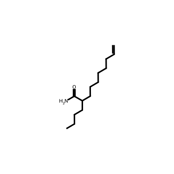 C=CCCCCCCC(CCCC)C(N)=O